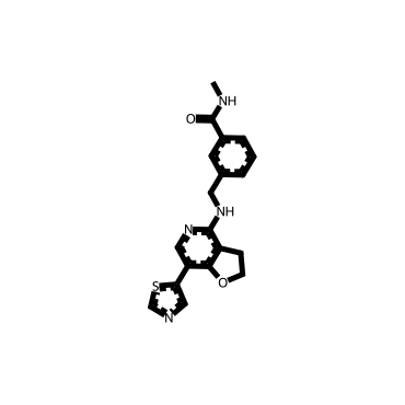 CNC(=O)c1cccc(CNc2ncc(-c3cncs3)c3c2CCO3)c1